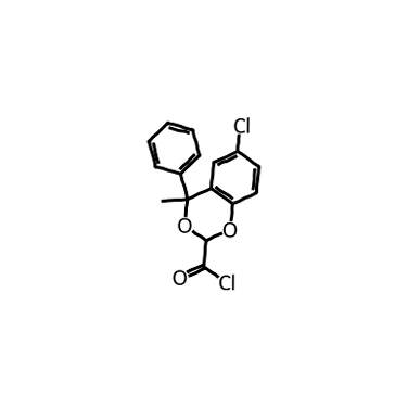 CC1(c2ccccc2)OC(C(=O)Cl)Oc2ccc(Cl)cc21